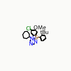 COc1ccc([N+]2(C3CCCCCC3)C=NC=NC2Sc2ccccc2C(C)(C)C)cc1Cl